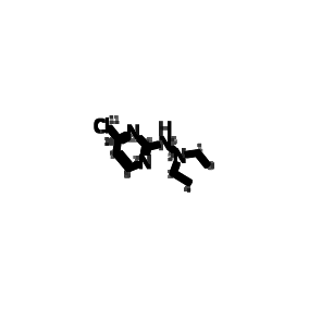 CCN(CC)Nc1nccc(Cl)n1